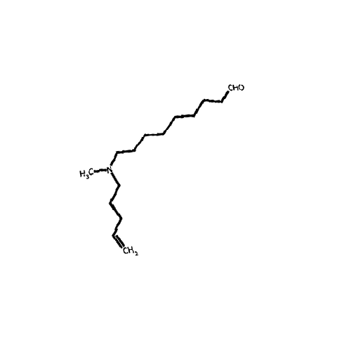 C=CCCCN(C)CCCCCCCCC=O